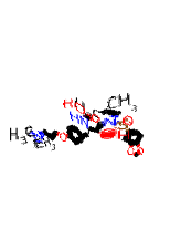 CC(C)CN(C[C@@H](O)[C@H](Cc1ccc(OCCCN(C)C)cc1)NC(=O)O)S(=O)(=O)c1ccc2c(c1)OCO2